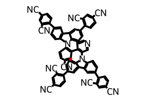 N#Cc1ccc(-c2ccc3c(c2)c2cc(-c4ccc(C#N)cc4C#N)ccc2n3-c2ccc(C#N)cc2-c2ccncc2-n2c3ccc(-c4ccc(C#N)cc4C#N)cc3c3cc(-c4ccc(C#N)cc4C#N)ccc32)c(C#N)c1